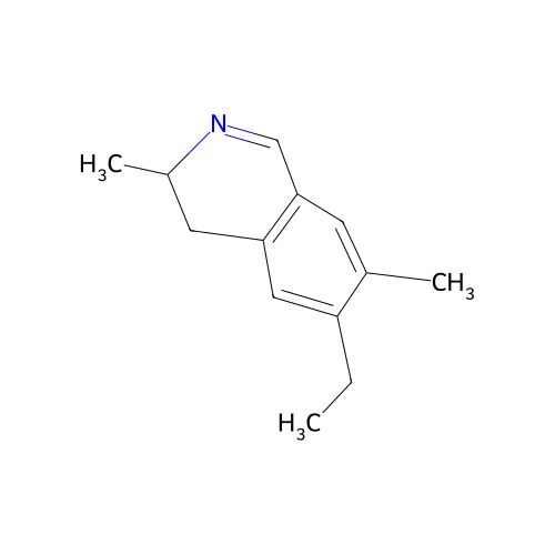 CCc1cc2c(cc1C)C=NC(C)C2